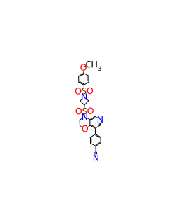 COc1ccc(S(=O)(=O)N2CC(S(=O)(=O)N3CCOc4c(-c5ccc(C#N)cc5)cncc43)C2)cc1